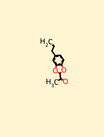 C=CCc1ccc2c(c1)OC(C(C)=O)O2